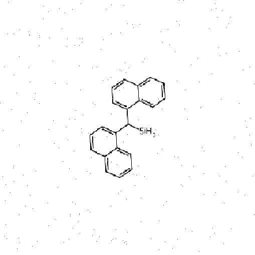 [SiH3]C(c1cccc2ccccc12)c1cccc2ccccc12